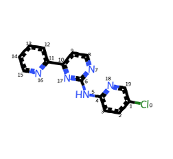 Clc1ccc(Nc2nccc(-c3ccccn3)n2)nc1